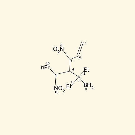 BC(CC)(CC)C(C(C=C)[N+](=O)[O-])C(CCC)[N+](=O)[O-]